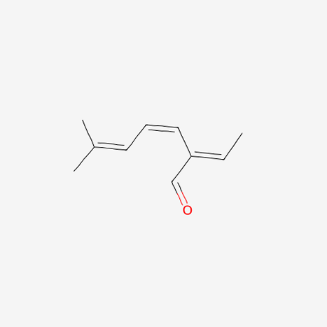 C/C=C(C=O)\C=C/C=C(C)C